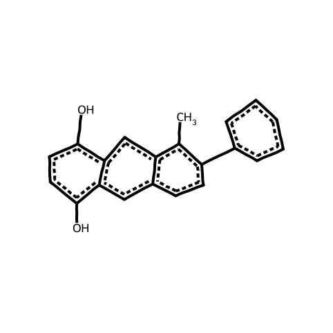 Cc1c(-c2ccccc2)ccc2cc3c(O)ccc(O)c3cc12